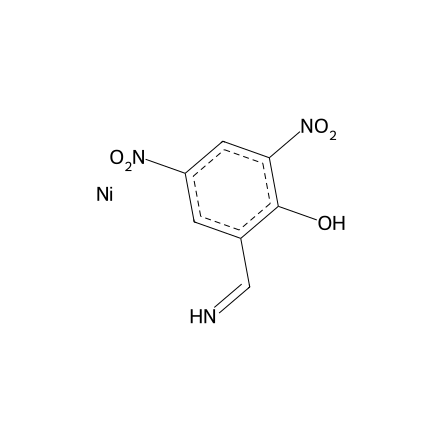 N=Cc1cc([N+](=O)[O-])cc([N+](=O)[O-])c1O.[Ni]